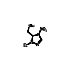 CCN1N=CN([N+](=O)[O-])C1CC(C)(C)C